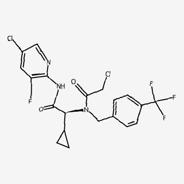 O=C(Nc1ncc(Cl)cc1F)[C@H](C1CC1)N(Cc1ccc(C(F)(F)F)cc1)C(=O)CCl